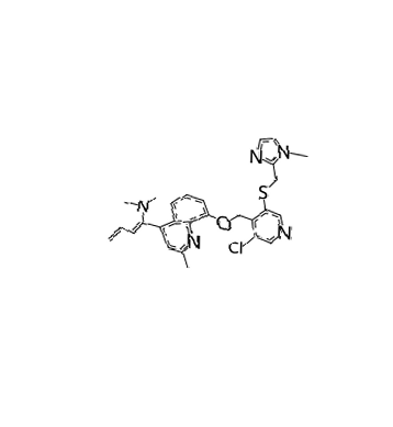 C=C/C=C(/c1cc(C)nc2c(OCc3c(Cl)cncc3SCc3nccn3C)cccc12)N(C)C